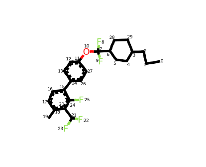 CCCC1CCC(C(F)(F)Oc2ccc(-c3ccc(C)c(C(F)F)c3F)cc2)CC1